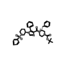 CC(C)(C)OC(=O)N1CCN(C(=O)c2ncn(C3CCCN(S(=O)(=O)c4ccccc4)C3)c2-c2ccccc2)[C@H](Cc2ccccc2)C1